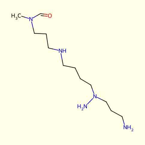 CN(C=O)CCCNCCCCN(N)CCCN